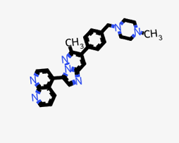 Cc1nn2c(-c3ccnc4ncccc34)cnc2cc1-c1ccc(CN2CCN(C)CC2)cc1